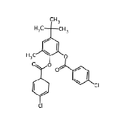 Cc1cc(C(C)(C)C)cc(OC(=O)c2ccc(Cl)cc2)c1OC(=O)C1C=CC(Cl)=CC1